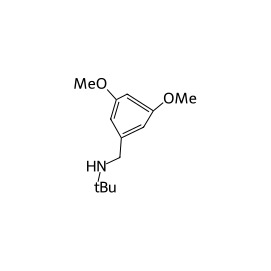 COc1cc(CNC(C)(C)C)cc(OC)c1